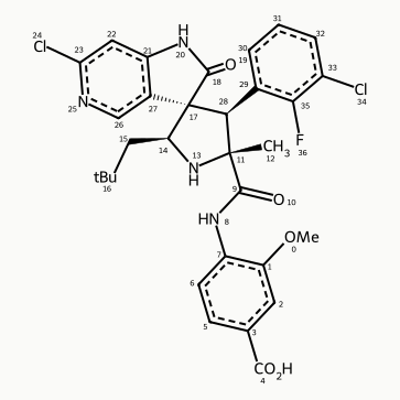 COc1cc(C(=O)O)ccc1NC(=O)[C@]1(C)N[C@@H](CC(C)(C)C)[C@@]2(C(=O)Nc3cc(Cl)ncc32)[C@H]1c1cccc(Cl)c1F